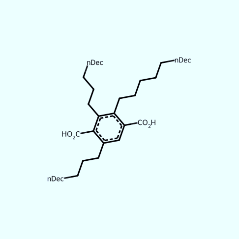 CCCCCCCCCCCCCCCc1c(C(=O)O)cc(CCCCCCCCCCCCC)c(C(=O)O)c1CCCCCCCCCCCCC